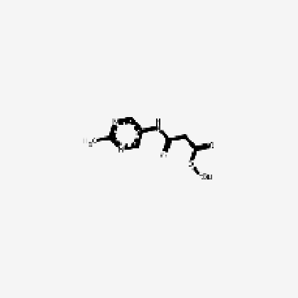 Cc1ncc(NC(=O)CC(=O)OC(C)(C)C)cn1